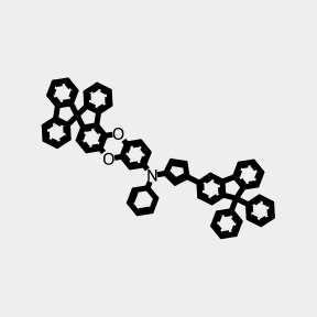 C1=C(c2ccc3c(c2)-c2ccccc2C3(c2ccccc2)c2ccccc2)C=CC=1N(c1ccc2c(c1)Oc1ccc3c(c1O2)-c1ccccc1C31c2ccccc2-c2ccccc21)C1C=CC=CC1